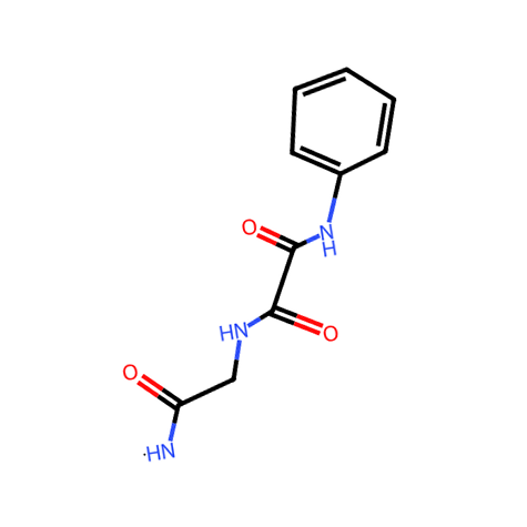 [NH]C(=O)CNC(=O)C(=O)Nc1ccccc1